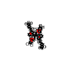 CN1C(=O)c2ccc(C(=O)Oc3ccc(-c4c5/c(=C(\C#N)c6cnc7cc(Cl)c(Cl)cc7n6)n(B(c6ccccc6)c6ccccc6)c(-c6ccc(OC(O)c7ccc8c(c7)C(=O)N(C)C8=O)cc6)c5/c(=C(\C#N)c5cnc6cc(Cl)c(Cl)cc6n5)n4B(c4ccccc4)c4ccccc4)cc3)cc2C1=O